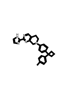 Cc1ccc(C2(c3ccc(N4CCc5cnc(-c6ncc[nH]6)nc5C4)cc3)CCC2)cc1